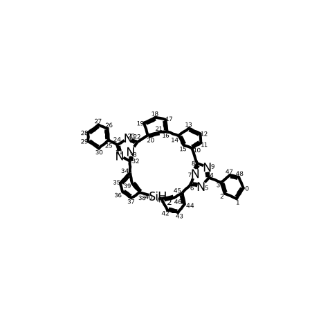 c1ccc(-c2nc3nc(n2)-c2cccc(c2)-c2cccc(c2)-c2nc(-c4ccccc4)nc(n2)-c2cccc(c2)[SiH2]c2cccc-3c2)cc1